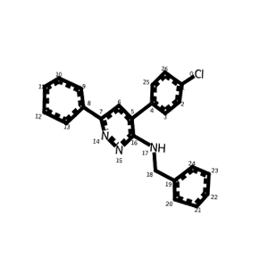 Clc1ccc(-c2cc(-c3ccccc3)nnc2NCc2ccccc2)cc1